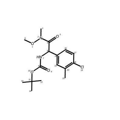 CON(C)C(=O)C(NC(=O)OC(C)(C)C)c1ccc(Cl)c(C)c1